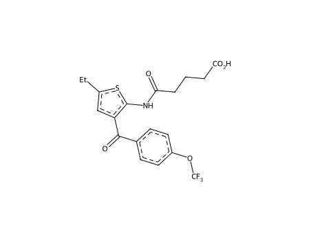 CCc1cc(C(=O)c2ccc(OC(F)(F)F)cc2)c(NC(=O)CCCC(=O)O)s1